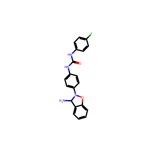 NC1c2ccccc2ON1c1ccc(NC(=O)Nc2ccc(F)cc2)cc1